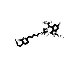 Cc1nn(C)c2cc(F)cc(C(C(=O)O)N3CC(OCCCCCc4ccc5c(n4)NCCC5)C3)c12